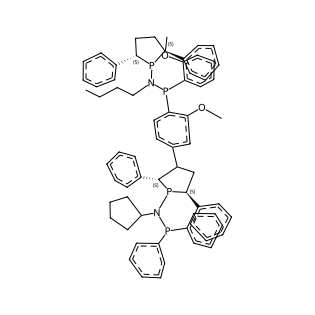 CCCCN(P(c1ccccc1OC)c1ccc(C2C[C@@H](c3ccccc3)P(N(C3CCCC3)P(c3ccccc3)c3ccccc3)[C@@H]2c2ccccc2)cc1OC)P1[C@H](c2ccccc2)CC[C@H]1c1ccccc1